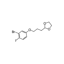 Brc1cc(OCCCC2OCCO2)ccc1I